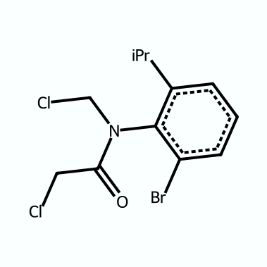 CC(C)c1cccc(Br)c1N(CCl)C(=O)CCl